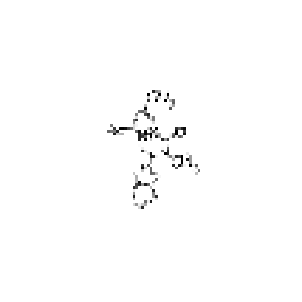 CC(=O)C1=CC(C)=CN2C(=O)N(C)C(N3Cc4ccccc4C3)=CN12